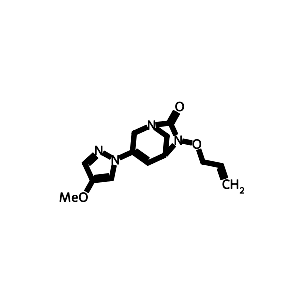 C=CCON1C(=O)N2CC(n3cc(OC)cn3)=CC1C2